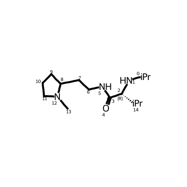 CC(C)N[C@@H](C(=O)NCCC1CCCN1C)C(C)C